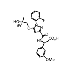 COc1cccc([C@H](CC(=O)O)NC(=O)c2cc(OC[C@](C)(O)C(C)C)n(-c3ccccc3F)n2)c1